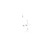 CN(C)P(=O)(O)CCCl